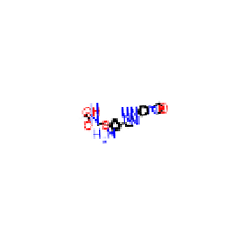 C[C@H](O)C(=O)NCCOc1ccc(-c2ccnc(Nc3ccc(N4CCOCC4)cc3)n2)cc1N